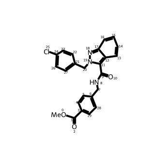 COC(=O)c1ccc(CNC(=O)c2c3ccccc3nn2Cc2ccc(Cl)cc2)cc1